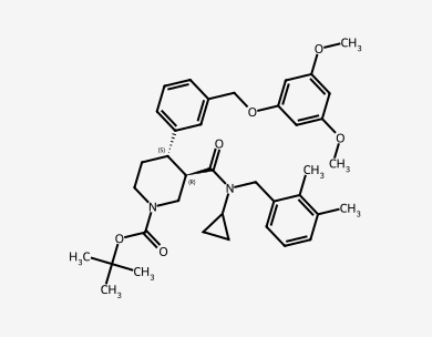 COc1cc(OC)cc(OCc2cccc([C@H]3CCN(C(=O)OC(C)(C)C)C[C@@H]3C(=O)N(Cc3cccc(C)c3C)C3CC3)c2)c1